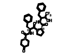 O=C1CCN(C(=O)N[C@@H](Cc2ccccc2)C(=O)N2CCC[C@H]2C(=O)NC(Cc2ccccc2)C(O)C(F)(F)F)CC1